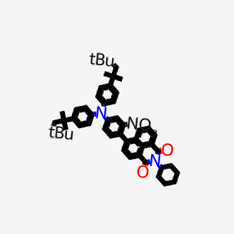 CC(C)(C)CC(C)(C)c1ccc(N(c2ccc(C(C)(C)CC(C)(C)C)cc2)c2ccc(-c3ccc4c5c(cccc35)C(=O)N(C3CCCCC3)C4=O)c([N+](=O)[O-])c2)cc1